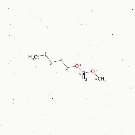 CCCCCO[SiH2]OC